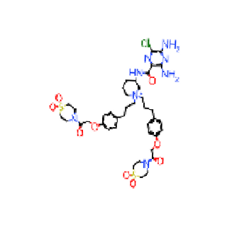 Nc1nc(N)c(C(=O)N[C@H]2CCC[N+](CCCc3ccc(OCC(=O)N4CCS(=O)(=O)CC4)cc3)(CCCc3ccc(OCC(=O)N4CCS(=O)(=O)CC4)cc3)C2)nc1Cl